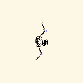 CCCCCCCC/C=C\CCCCCCCC(=O)OCC[N+](C)(C)CCOC(=O)CCCCCCC/C=C\CCCCCCCC.COS(=O)(=O)[O-]